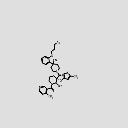 CCC[C@H]1N(C(=O)c2cnccc2C(F)(F)F)CCC[C@@]1(Oc1csc(C(F)(F)F)c1)C(=O)N1CCC(C#N)(c2ccccc2OCCCC(C)=O)CC1